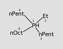 CCCCCCCC[PH](CC)(CCCCC)CCCCC